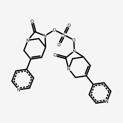 O=C1N2CC(c3ccncc3)=CC(C2)N1OS(=O)(=O)ON1C(=O)N2CC(c3ccncc3)=CC1C2